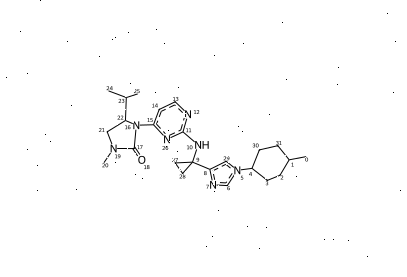 CC1CCC(n2cnc(C3(Nc4nccc(N5C(=O)N(C)CC5C(C)C)n4)CC3)c2)CC1